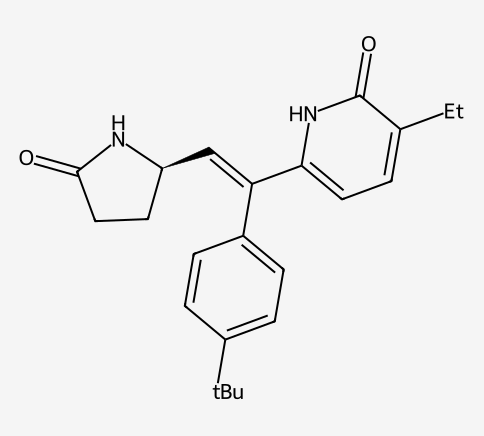 CCc1ccc(/C(=C/[C@H]2CCC(=O)N2)c2ccc(C(C)(C)C)cc2)[nH]c1=O